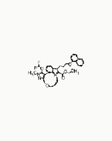 CCOC(=O)c1c(CCCOc2cccc3ccccc23)c2cccc3c2n1C/C=C\COCc1nn(C)c(OC(F)F)c1-3